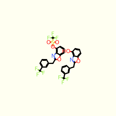 O=S(=O)(Oc1cccc2oc(Cc3cccc(C(F)(F)F)c3)nc12)C(F)(F)F.Oc1cccc2oc(Cc3cccc(C(F)(F)F)c3)nc12